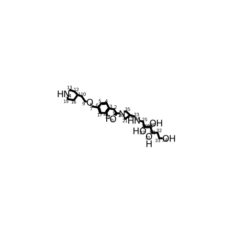 O=C(Cc1ccc(COCCC2CCNCC2)cc1F)N1CC(CNC[C@@H](O)[C@H](O)[C@@H](O)CCO)C1